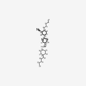 CCCCCc1ccc(-c2ncc(OC[C@H]3CC[C@H](CCCCC)CC3)cn2)cc1C#N